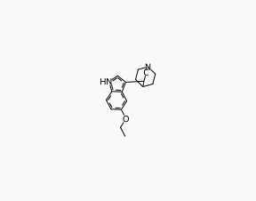 CCOc1ccc2[nH]cc(C3CN4CCC3CC4)c2c1